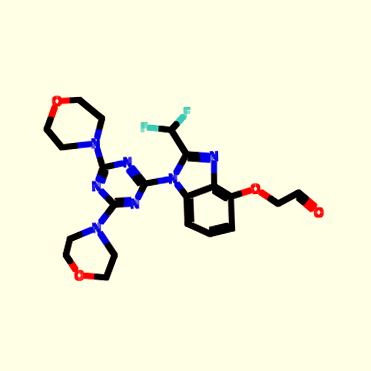 O=CCOc1cccc2c1nc(C(F)F)n2-c1nc(N2CCOCC2)nc(N2CCOCC2)n1